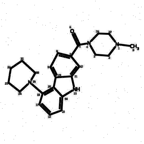 CN1CCN(C(=O)c2ccc3c(c2)[nH]c2cccc(N4CCCCC4)c23)CC1